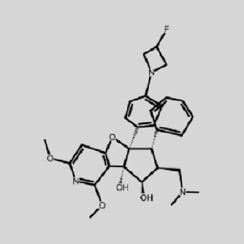 COc1cc2c(c(OC)n1)[C@]1(O)[C@H](O)[C@H](CN(C)C)[C@@H](c3ccccc3)[C@]1(c1ccc(N3CC(F)C3)cc1)O2